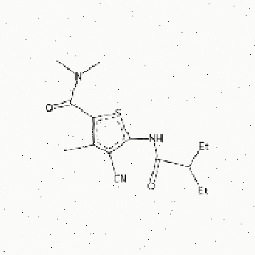 CCC(CC)C(=O)Nc1sc(C(=O)N(C)C)c(C)c1C#N